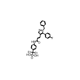 CCC(CC)(c1ccc(NC(=O)/C=C/c2cnn(Cc3ccccc3)c2-c2ccc(F)cc2)cc1)P(=O)(O)O